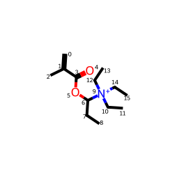 C=C(C)C(=O)OC(CC)[N+](CC)(CC)CC